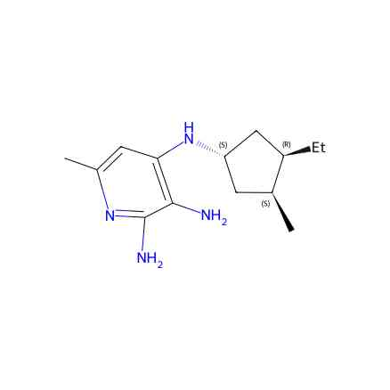 CC[C@@H]1C[C@@H](Nc2cc(C)nc(N)c2N)C[C@@H]1C